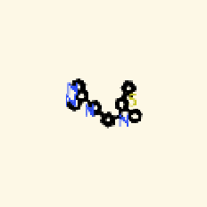 c1cc(-c2ccc(-c3cc4cccnc4c4ncccc34)nc2)cc(-c2nc3ccccc3c3c2ccc2c4ccccc4sc23)c1